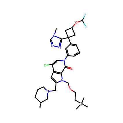 C[C@H]1CCCN(Cc2cc3c(Cl)cn(-c4cccc(C5(c6nncn6C)CC(OC(F)F)C5)c4)c(=O)c3n2COCC[Si](C)(C)C)C1